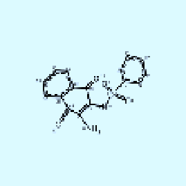 NC1=C(NS(=O)(=O)c2ccccc2)C(=O)c2ccccc2C1=O